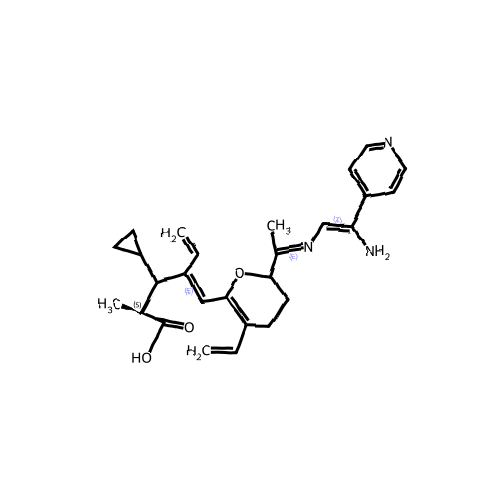 C=CC1=C(/C=C(\C=C)C(C2CC2)[C@H](C)C(=O)O)OC(/C(C)=N/C=C(\N)c2ccncc2)CC1